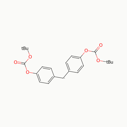 CC(C)(C)OC(=O)Oc1ccc([CH]c2ccc(OC(=O)OC(C)(C)C)cc2)cc1